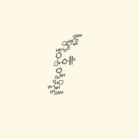 CCS(CC)(CC)c1ccc(N2[C@H](c3ccc(NC(=O)[C@@H]4CCCN4C(=O)[C@@H](NC(=O)OC)C(C)C)cc3)CC[C@H]2c2ccc(NC(=O)[C@@H]3CCCN3C(=O)[C@@H](NC(=O)OC)C(C)C)cc2)cc1